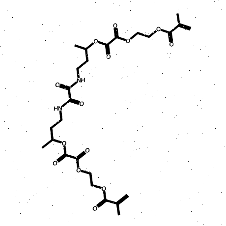 C=C(C)C(=O)OCCOC(=O)C(=O)OC(C)CCNC(=O)C(=O)NCCC(C)OC(=O)C(=O)OCCOC(=O)C(=C)C